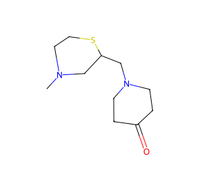 CN1CCSC(CN2CCC(=O)CC2)C1